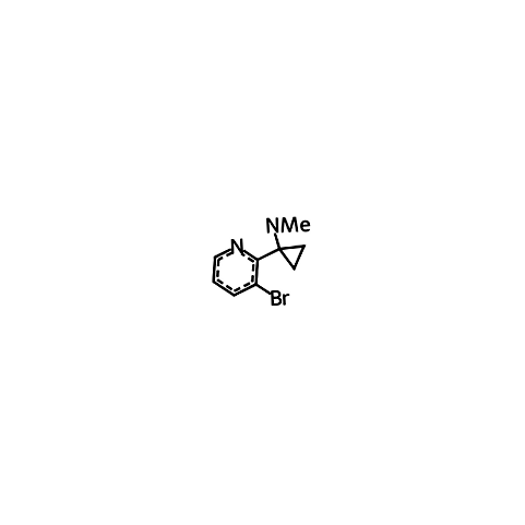 CNC1(c2ncccc2Br)CC1